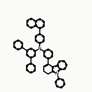 C1=C(c2cccc(N(c3ccc(-c4cccc5ccccc45)cc3)c3cc(-c4ccccc4)cc(-c4ccccc4)c3)c2)c2c(n(-c3ccccc3)c3ccccc23)CC1